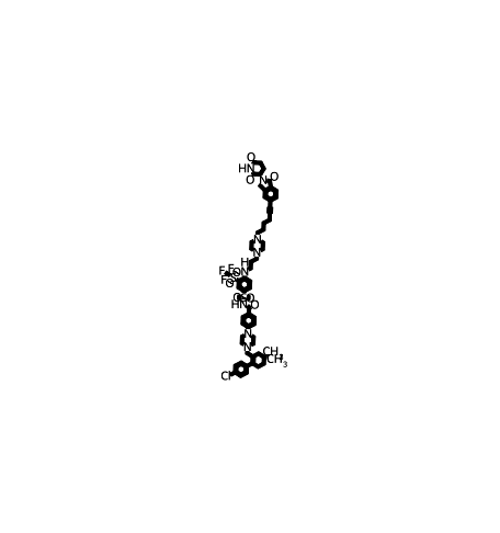 CC1(C)CCC(c2ccc(Cl)cc2)=C(CN2CCN(c3ccc(C(=O)NS(=O)(=O)c4ccc(NCCCN5CCN(CCCCC#Cc6ccc7c(c6)CN(C6CCC(=O)NC6=O)C7=O)CC5)c(S(=O)(=O)C(F)(F)F)c4)cc3)CC2)C1